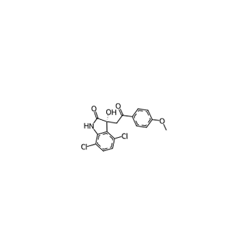 COc1ccc(C(=O)C[C@]2(O)C(=O)Nc3c(Cl)ccc(Cl)c32)cc1